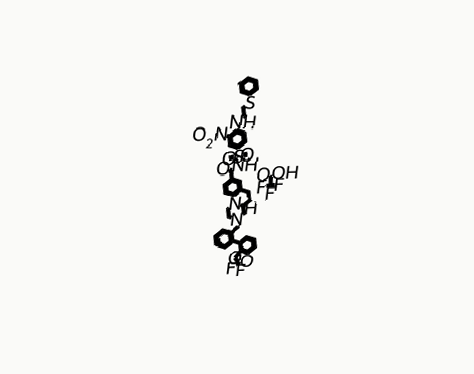 O=C(NS(=O)(=O)c1ccc(NCCSc2ccccc2)c([N+](=O)[O-])c1)c1ccc2c(c1)CC[C@H]1CN(Cc3ccccc3-c3cccc4c3OC(F)(F)O4)CCN21.O=C(O)C(F)(F)F